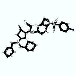 Cc1ccc(S(=O)(=O)n2ccc3nc(NC(C=O)C4CC(N(Cc5ccccc5)Cc5ccccc5)CC4C)cnc32)cc1